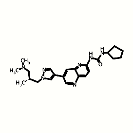 C[C@H](CN(C)C)Cn1cc(-c2cnc3ccc(NC(=O)NC4CCCC4)nc3c2)cn1